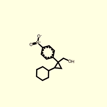 O=[N+]([O-])c1ccc(C2(CO)CC2C2CCCCC2)cc1